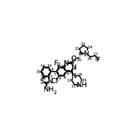 Nc1nc2c(-c3c(Cl)cc4c(N5CCNCC5)nc(OC[C@@H]5CCCN5CCF)nc4c3F)cccc2s1